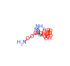 NCCOCCOCC#C[C@]1(n2ccc(N)nc2=O)CC[C@@H](COP(=O)(O)OP(=O)(O)OP(=O)(O)O)O1